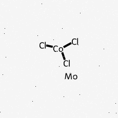 [Cl][Co]([Cl])[Cl].[Mo]